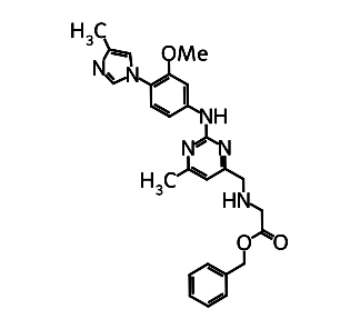 COc1cc(Nc2nc(C)cc(CNCC(=O)OCc3ccccc3)n2)ccc1-n1cnc(C)c1